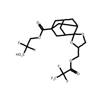 O=C(OCC(F)(F)S(=O)(=O)O)C12CC3CC(C1)C1(OCC(COC(=O)C(F)(F)C(F)(F)F)O1)C(C3)C2